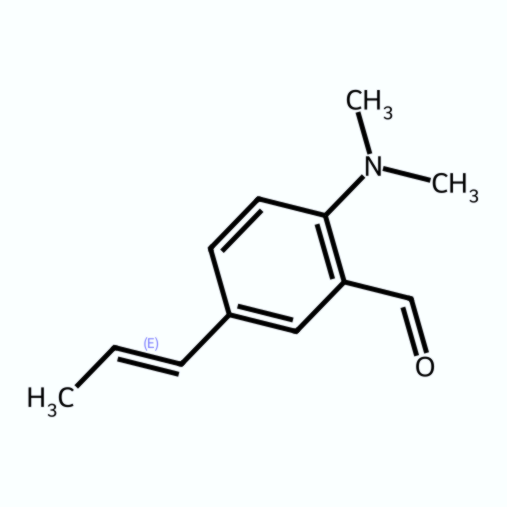 C/C=C/c1ccc(N(C)C)c(C=O)c1